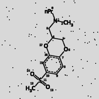 CCCN(C)CC1COc2ccc(S(C)(=O)=O)cc2O1